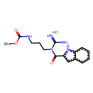 CC(C)(C)OC(=O)NCCCN(C(=N)N)C(=O)c1cc2ccccc2[nH]1.Cl